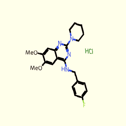 COc1cc2nc(N3CCCCC3)nc(NCc3ccc(F)cc3)c2cc1OC.Cl